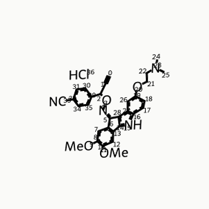 C#CC(ON=C1c2cc(OC)c(OC)cc2-c2[nH]c3ccc(OCCN(C)C)cc3c21)c1ccc(C#N)cc1.Cl